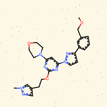 COCc1cccc(-c2ccn(-c3cc(N4CCOCC4)nc(OCCc4cnn(C)c4)n3)n2)c1